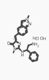 CN1C(=O)/C(=C/c2ccc3nn(C)cc3c2)N=C1NC(CN)c1ccccc1.Cl.Cl